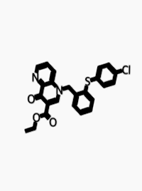 CCOC(=O)c1cn(Cc2ccccc2Sc2ccc(Cl)cc2)c2cccnc2c1=O